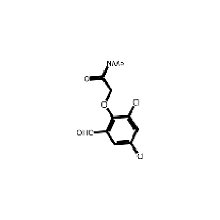 CNC(=O)COc1c(Cl)cc(Cl)cc1C=O